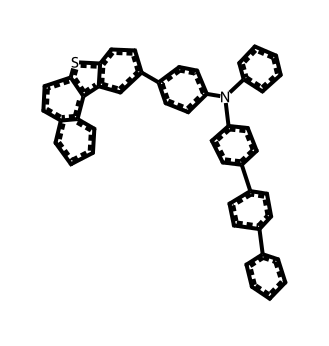 c1ccc(-c2ccc(-c3ccc(N(c4ccccc4)c4ccc(-c5ccc6sc7ccc8ccccc8c7c6c5)cc4)cc3)cc2)cc1